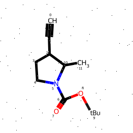 C#CC1CCN(C(=O)OC(C)(C)C)C1C